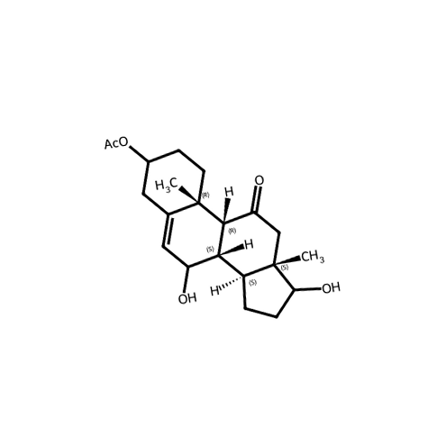 CC(=O)OC1CC[C@@]2(C)C(=CC(O)[C@@H]3[C@H]2C(=O)C[C@]2(C)C(O)CC[C@@H]32)C1